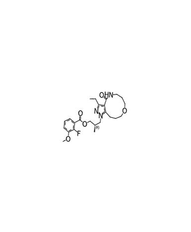 CCc1nn(C[C@@H](C)COC(=O)c2cccc(OC)c2F)c2c1C(=O)NCCCOCCC2